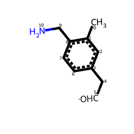 Cc1cc(C[C]=O)ccc1CN